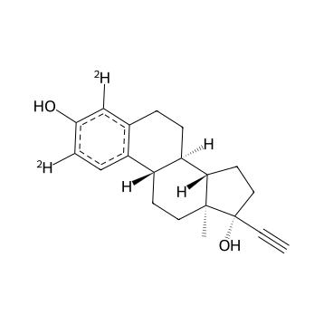 [2H]c1cc2c(c([2H])c1O)CC[C@@H]1[C@@H]2CC[C@@]2(C)[C@H]1CC[C@@]2(O)C#C